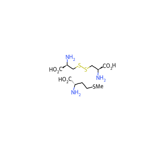 CSCC[C@H](N)C(=O)O.N[C@@H](CSSC[C@H](N)C(=O)O)C(=O)O